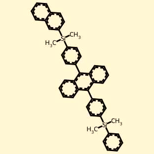 C[Si](C)(c1ccccc1)c1ccc(-c2c3ccccc3c(-c3ccc([Si](C)(C)c4ccc5ccccc5c4)cc3)c3ccccc23)cc1